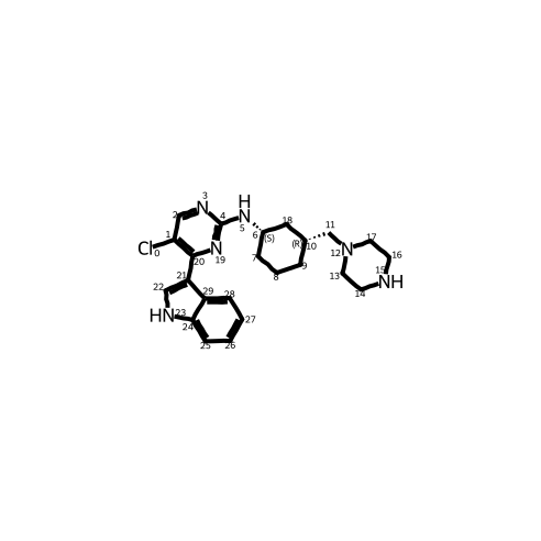 Clc1cnc(N[C@H]2CCC[C@@H](CN3CCNCC3)C2)nc1-c1c[nH]c2ccccc12